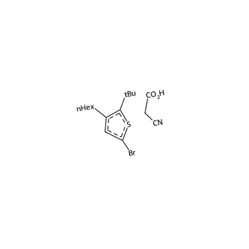 CCCCCCc1cc(Br)sc1C(C)(C)C.N#CCC(=O)O